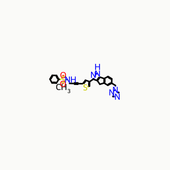 Cc1ccccc1S(=O)(=O)NCC#Cc1cc(-c2n[nH]c3c2Cc2cc(Cn4cncn4)ccc2-3)cs1